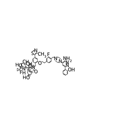 Cc1ncsc1-c1ccc(CNC(=O)[C@@H]2C[C@@H](O)CN2C(=O)[C@@H](NC(=O)C2(F)CC2)C(C)(C)C)c(OCCc2ccc(CN3CCN(c4cc(-c5ccccc5O)nnc4N)CC3)c(F)c2)c1